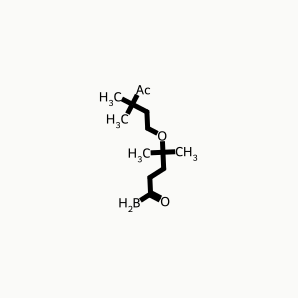 BC(=O)CCC(C)(C)OCCC(C)(C)C(C)=O